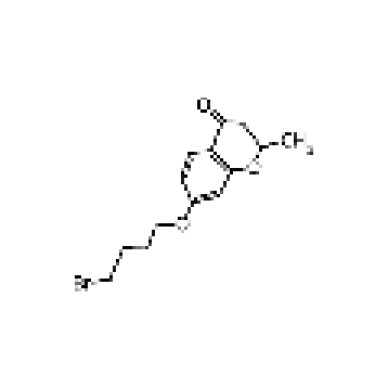 CC1CC(=O)c2ccc(OCCCCBr)cc2O1